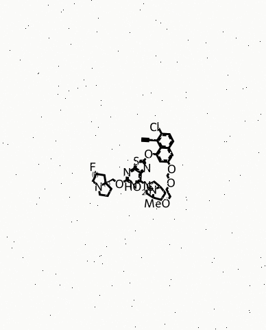 C#Cc1c(Cl)ccc2cc(OCOCCOC)cc(Oc3nc4c(N5CC6CCC(C5)N6C(=O)O)nc(OC[C@@]56CCCN5C[C@H](F)C6)nc4s3)c12